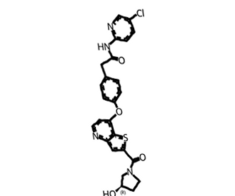 O=C(Cc1ccc(Oc2ccnc3cc(C(=O)N4CC[C@@H](O)C4)sc23)cc1)Nc1ccc(Cl)cn1